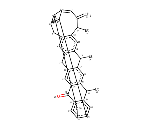 C=C1/C=C2\C3=CCc4cc5c(cc4C1CC)C(CC)c1cc4c(cc1C5)C(=O)c1cc(c(cc1C4CC)C2CC)C3